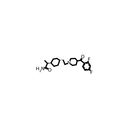 CC(C(N)=O)[C@H]1CC[C@H](CCN2CCC(C(=O)c3ccc(F)cc3F)CC2)CC1